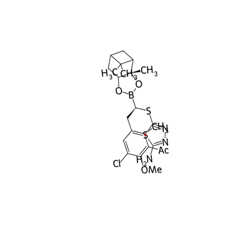 COc1c(Cl)cc(C[C@H](Sc2nnc(N)s2)B2OC3CC4CC(C4(C)C)[C@]3(C)O2)c(C)c1C(C)=O